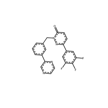 O=c1ccc(-c2cc(F)c(F)c(F)c2)nn1Cc1cccc(-c2cnccn2)c1